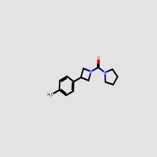 Cc1ccc(C2CN(C(=O)N3CCCC3)C2)cc1